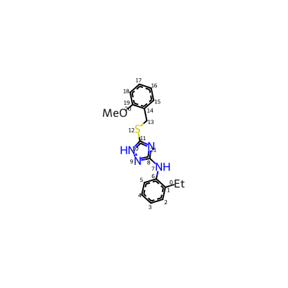 CCc1ccccc1Nc1n[nH]c(SCc2ccccc2OC)n1